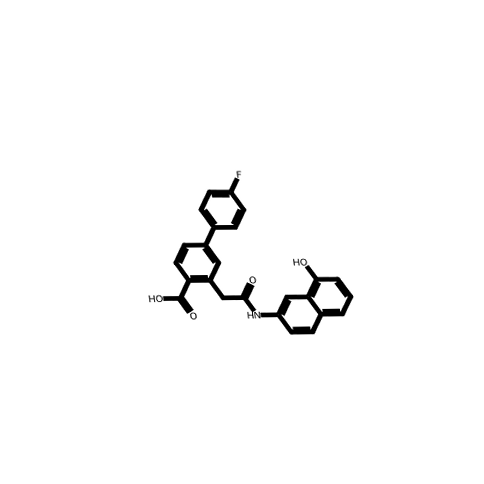 O=C(Cc1cc(-c2ccc(F)cc2)ccc1C(=O)O)Nc1ccc2cccc(O)c2c1